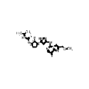 COCc1cn2c(Nc3cc([C@H]4CC[C@@H](OC(=O)NC(C)C)[C@@H]4F)[nH]n3)ncc(F)c2n1